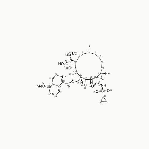 CC[C@@H]1C[C@H](C)CC/C=C\[C@@H]2C[C@@]2(C(=O)NS(=O)(=O)C2CC2)NC(=O)[C@@H]2C[C@@H](Oc3nccc4c(OC)cccc34)CN2C(=O)[C@H]1N(C(=O)O)C(C)(C)C